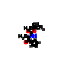 CC(NC(=O)OC(C)(C)C)C(=O)C1CCCC1